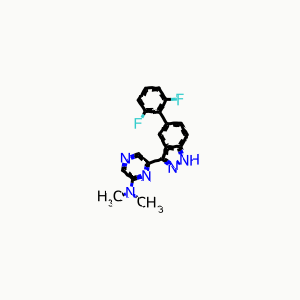 CN(C)c1cncc(-c2n[nH]c3ccc(-c4c(F)cccc4F)cc23)n1